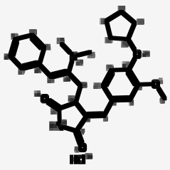 COc1cc(C=C2C(=O)NC(=O)C2CC(=Cc2ccccc2)N(C)C)ccc1OC1CCCC1.Cl